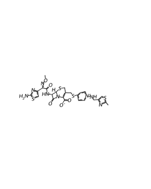 CO/N=C(\C(=O)N[C@@H]1C(=O)N2C(C(=O)[O-])=C(CSc3cc[n+](NCc4csc(C)n4)cc3)CS[C@H]12)c1csc(N)n1